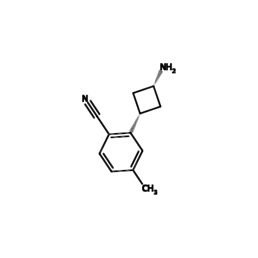 Cc1ccc(C#N)c([C@H]2C[C@@H](N)C2)c1